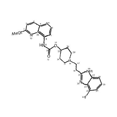 COc1ccc2nccc(NC(=O)OC3CCN(CCc4nc5c(F)cccc5[nH]4)CC3)c2n1